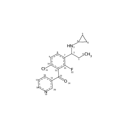 CCC(NC1CC1)c1ccc(Cl)c(C(=O)c2cccnc2)c1F